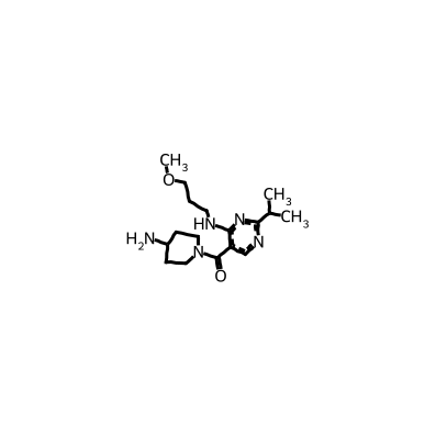 COCCCNc1nc(C(C)C)ncc1C(=O)N1CCC(N)CC1